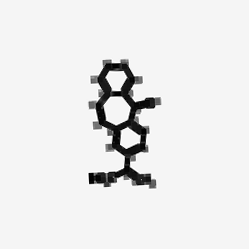 C=C(C(=O)O)c1ccc2c(=O)c3ccccc3ccc2c1